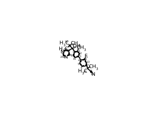 Cc1cc(-c2ccc(C(C)(C)C#N)cc2F)ccc1C(O)(c1cncnc1)C(C)(C)C